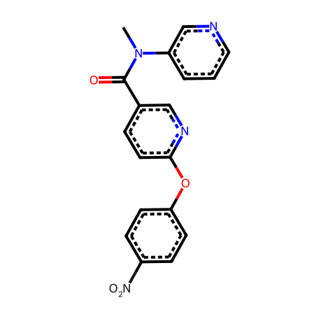 CN(C(=O)c1ccc(Oc2ccc([N+](=O)[O-])cc2)nc1)c1cccnc1